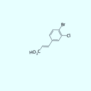 O=C(O)/C=C/c1ccc(Br)c(Cl)c1